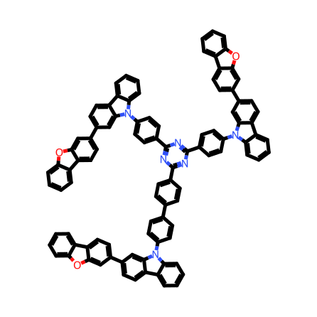 c1ccc2c(c1)oc1cc(-c3ccc4c5ccccc5n(-c5ccc(-c6ccc(-c7nc(-c8ccc(-n9c%10ccccc%10c%10ccc(-c%11ccc%12c(c%11)oc%11ccccc%11%12)cc%109)cc8)nc(-c8ccc(-n9c%10ccccc%10c%10ccc(-c%11ccc%12c(c%11)oc%11ccccc%11%12)cc%109)cc8)n7)cc6)cc5)c4c3)ccc12